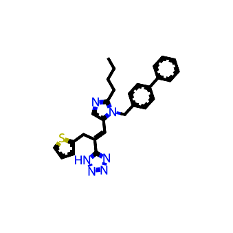 CCCCc1ncc(/C=C(\Cc2cccs2)c2nnn[nH]2)n1Cc1ccc(-c2ccccc2)cc1